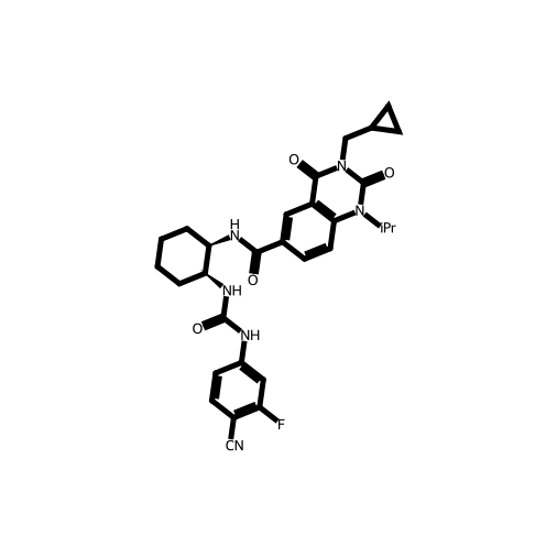 CC(C)n1c(=O)n(CC2CC2)c(=O)c2cc(C(=O)N[C@@H]3CCCC[C@@H]3NC(=O)Nc3ccc(C#N)c(F)c3)ccc21